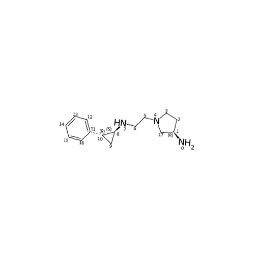 N[C@@H]1CCN(CCN[C@H]2C[C@@H]2c2ccccc2)C1